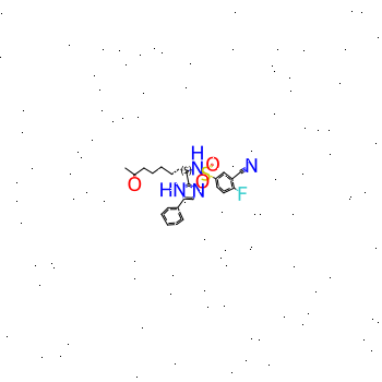 CC(=O)CCCCC[C@H](NS(=O)(=O)c1ccc(F)c(C#N)c1)c1ncc(-c2ccccc2)[nH]1